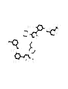 CCOc1nnc(-c2cc(NC(=O)c3cccc(C(F)F)c3)ccc2C)cc1N1CCOC(CCOc2nnc(-c3cc(NC(=O)c4ccnc(C(F)(F)CC)c4)ccc3C)cc2N2CCOCC2)C1